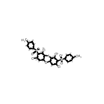 Cc1ccc(S(=O)(=O)c2c(Cl)cc3c(c2Cl)Sc2c(cc(Cl)c(S(=O)(=O)c4ccc(C)cc4)c2Cl)O3)cc1